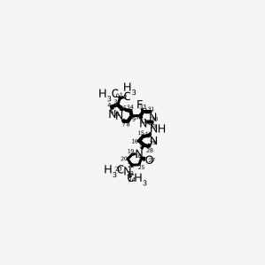 CC(C)c1cnn2ccc(-c3nc(Nc4ccc(N5CCC(N(C)C)CC5=O)cn4)ncc3F)cc12